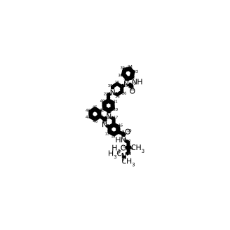 CN(C)CC(C)(C)CNC(=O)c1ccc2c(c1)CN(c1ccc(CN3CCC(n4c(=O)[nH]c5ccccc54)CC3)cc1)C(c1ccccc1)=N2